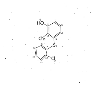 Oc1cccc(Sc2ccccc2Cl)c1Cl